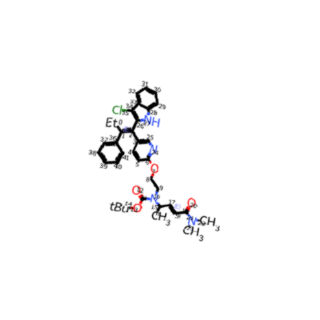 CC/C(=C(/c1ccc(OCCN(C(=O)OC(C)(C)C)C(C)/C=C/C(=O)N(C)C)nc1)c1[nH]c2ccccc2c1Cl)c1ccccc1